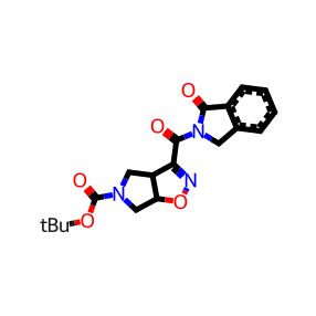 CC(C)(C)OC(=O)N1CC2ON=C(C(=O)N3Cc4ccccc4C3=O)C2C1